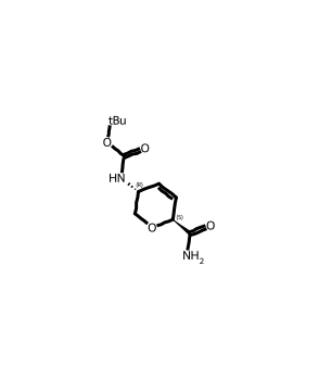 CC(C)(C)OC(=O)N[C@@H]1C=C[C@@H](C(N)=O)OC1